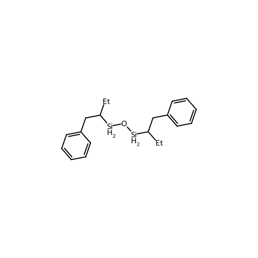 CCC(Cc1ccccc1)[SiH2]O[SiH2]C(CC)Cc1ccccc1